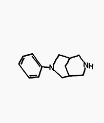 c1ccc(N2CC3CNCC(C3)C2)cc1